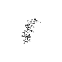 CC(=O)N1CCC(C(C)(C)Nc2nc(C)c(-c3ccc(O)c(S(=O)(=O)Nc4ccc(F)cc4Cl)c3)s2)CC1